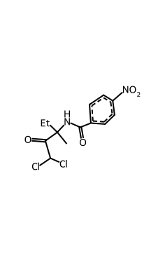 CCC(C)(NC(=O)c1ccc([N+](=O)[O-])cc1)C(=O)C(Cl)Cl